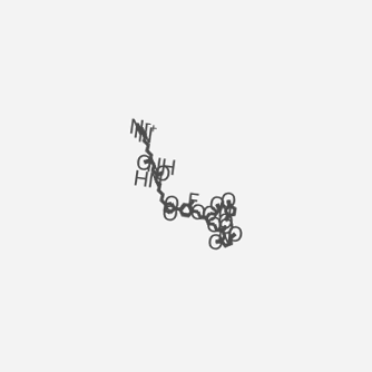 [N-]=[N+]=NCCCCC(=O)NCC(=O)NCCCCC1COC(c2ccc(OCC(COCC(=O)N3C(=O)CCC3=O)OCC(=O)N3C(=O)CCC3=O)c(F)c2)O1